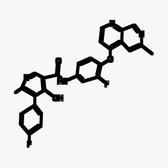 Cc1cc2c(Oc3ccc(NC(=O)c4cnc(C)c(-c5ccc(F)cc5)c4O)cc3F)ccnc2cn1